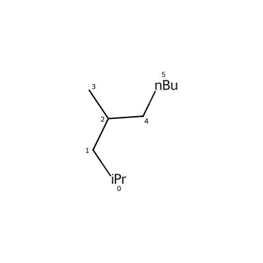 [CH2]C(C)CC(C)CCCCC